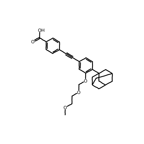 COCCOCOc1cc(C#Cc2ccc(C(=O)O)cc2)ccc1C12CC3CC(CC(C3)C1)C2